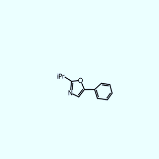 CC(C)c1ncc(-c2ccccc2)o1